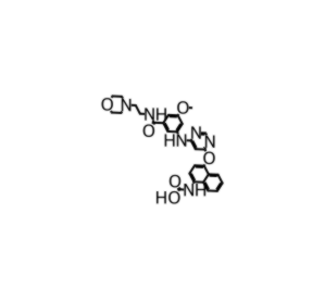 COc1cc(Nc2cc(Oc3ccc(NC(=O)O)c4ccccc34)ncn2)cc(C(=O)NCCN2CCOCC2)c1